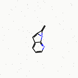 C=C1c2cc3cccnc3n21